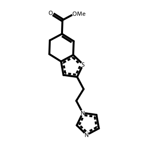 COC(=O)C1=Cc2sc(CCn3ccnc3)cc2CC1